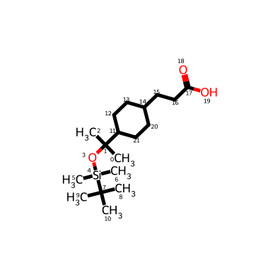 CC(C)(O[Si](C)(C)C(C)(C)C)C1CCC(CCC(=O)O)CC1